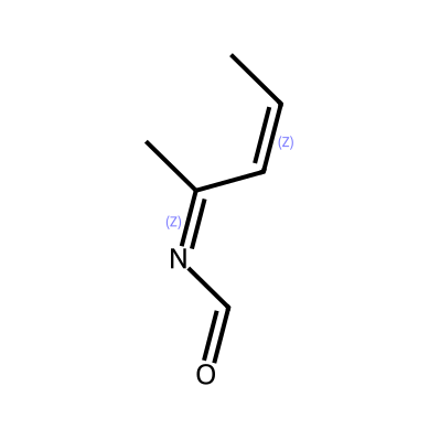 C/C=C\C(C)=N/C=O